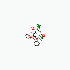 CC12C(c3ccccc3)=C(c3ccccc3)C(C)(C1O)C1(Br)C(=O)C=C(Br)C(=O)C21